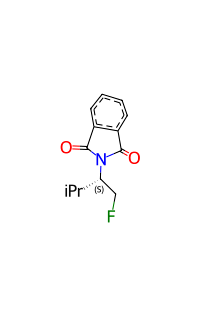 CC(C)[C@@H](CF)N1C(=O)c2ccccc2C1=O